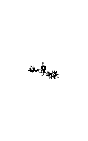 Cc1nc2c3c(nn2c(C)c1Cl)CN(C(=O)c1ccc(F)cc1OCCc1cncc(F)c1)C3